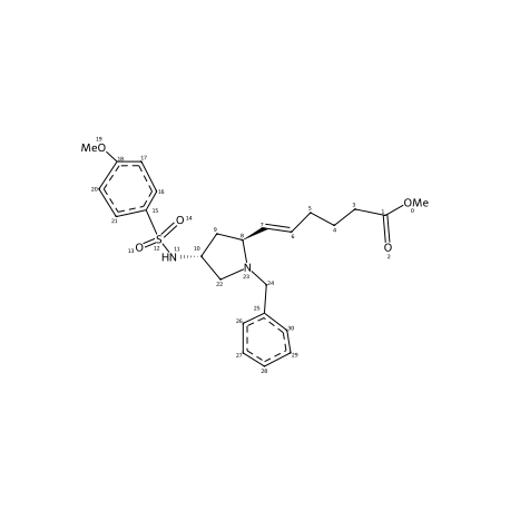 COC(=O)CCCC=C[C@@H]1C[C@@H](NS(=O)(=O)c2ccc(OC)cc2)CN1Cc1ccccc1